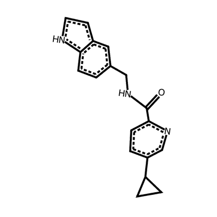 O=C(NCc1ccc2[nH]ccc2c1)c1ccc(C2CC2)cn1